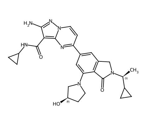 C[C@@H](C1CC1)N1Cc2cc(-c3ccn4nc(N)c(C(=O)NC5CC5)c4n3)cc(N3CC[C@@H](O)C3)c2C1=O